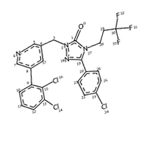 O=c1n(Cc2cncc(-c3cccc(Cl)c3Cl)c2)nc(-c2ccc(Cl)cc2)n1CCC(F)(F)F